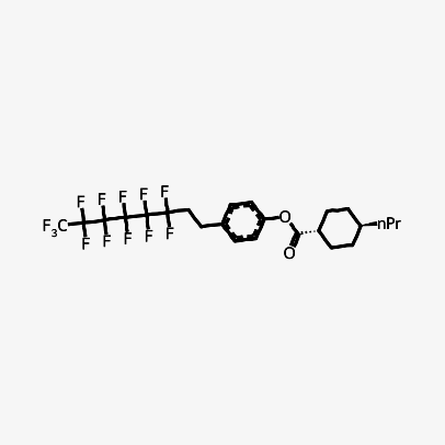 CCC[C@H]1CC[C@H](C(=O)Oc2ccc(CCC(F)(F)C(F)(F)C(F)(F)C(F)(F)C(F)(F)C(F)(F)F)cc2)CC1